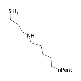 CCCCCCCCCCNCCC[SiH3]